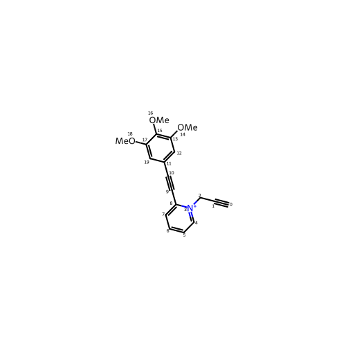 C#CC[n+]1ccccc1C#Cc1cc(OC)c(OC)c(OC)c1